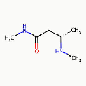 CNC(=O)C[C@H](C)NC